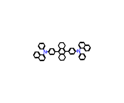 c1ccc(N(c2ccc(-c3c4c(c(-c5ccc(N(c6ccccc6)c6cccc7ccccc67)cc5)c5c3CCCC5)CCCC4)cc2)c2cccc3ccccc23)cc1